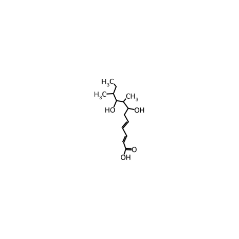 CCC(C)C(O)C(C)C(O)C/C=C/C=C/C(=O)O